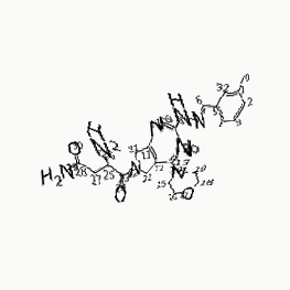 Cc1cccc(/C=N/Nc2nc3c(c(N4CCOCC4)n2)CN(C(=O)[C@H](N)CC(N)=O)C3)c1